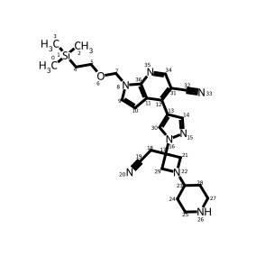 C[Si](C)(C)CCOCn1ccc2c(-c3cnn(C4(CC#N)CN(C5CCNCC5)C4)c3)c(C#N)cnc21